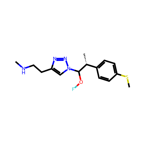 CNCCc1cn(C(OF)[C@H](C)c2ccc(SC)cc2)nn1